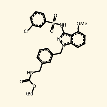 COc1cccc2c1c(NS(=O)(=O)c1cccc(Cl)c1)nn2Cc1cccc(CNC(=O)OC(C)(C)C)c1